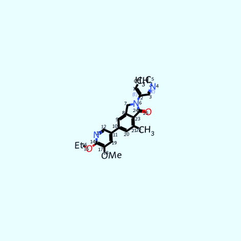 C/C=C(\C=N/C)N1Cc2cc(-c3cnc(OCC)c(OC)c3)cc(C)c2C1=O